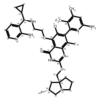 Cc1cc(N)nc(-c2c(Cl)c(OCCN[C@@H](c3cccnc3N)C3CC3)c3c(=O)[nH]c(OC[C@@]45CCCN4C[C@H](F)C5)nc3c2F)c1C(F)(F)F